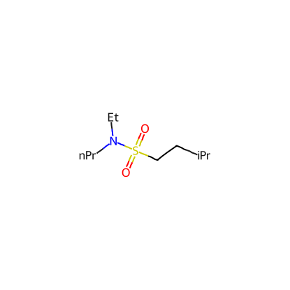 [CH2]CN(CCC)S(=O)(=O)CCC(C)C